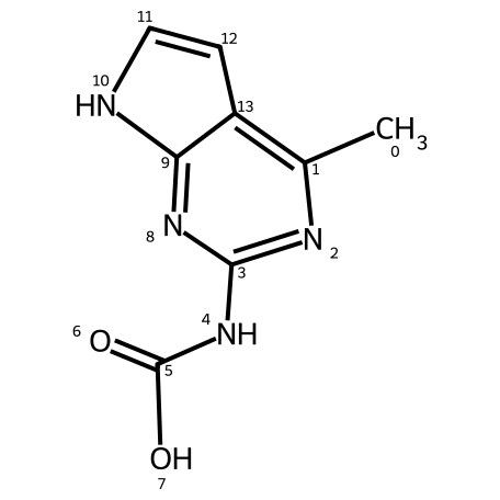 Cc1nc(NC(=O)O)nc2[nH]ccc12